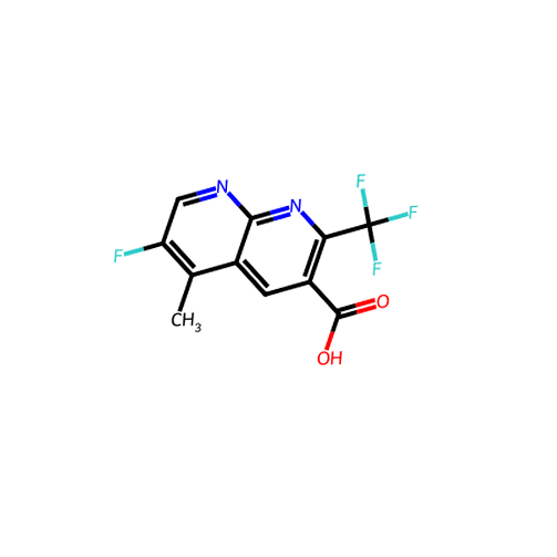 Cc1c(F)cnc2nc(C(F)(F)F)c(C(=O)O)cc12